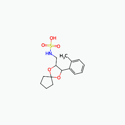 Cc1ccccc1C1OC2(CCCC2)OC1CNS(=O)(=O)O